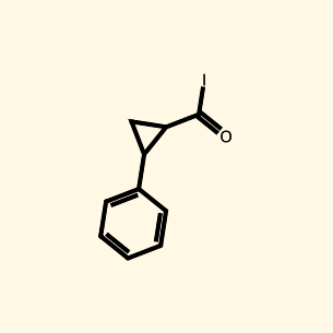 O=C(I)C1CC1c1ccccc1